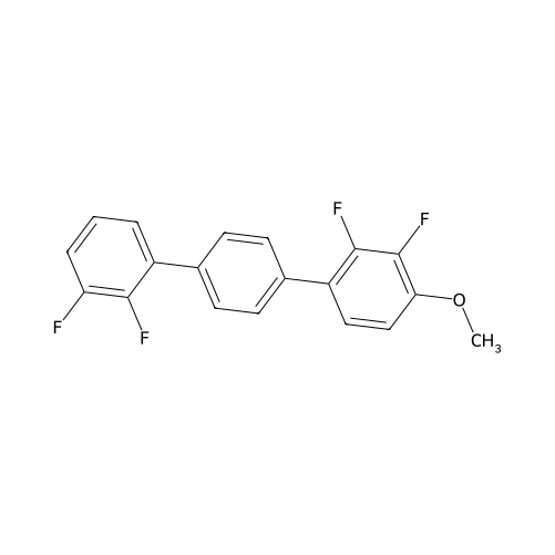 COc1ccc(-c2ccc(-c3cccc(F)c3F)cc2)c(F)c1F